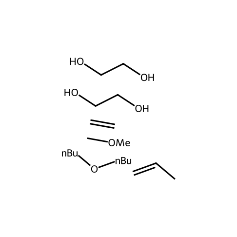 C=C.C=CC.CCCCOCCCC.COC.OCCO.OCCO